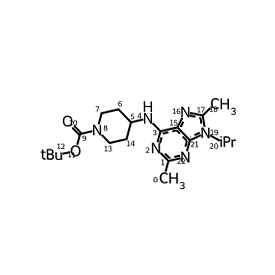 Cc1nc(NC2CCN(C(=O)OC(C)(C)C)CC2)c2nc(C)n(C(C)C)c2n1